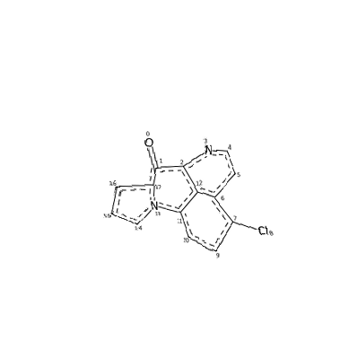 O=c1c2nccc3c(Cl)ccc(c32)n2cccc12